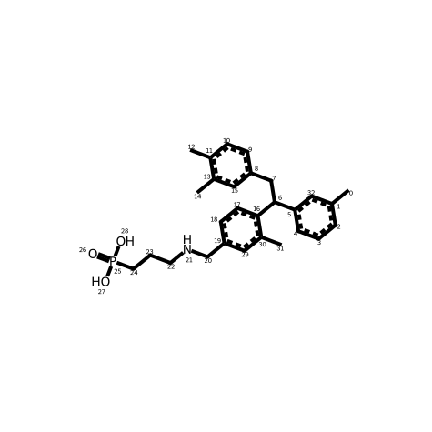 Cc1cccc(C(Cc2ccc(C)c(C)c2)c2ccc(CNCCCP(=O)(O)O)cc2C)c1